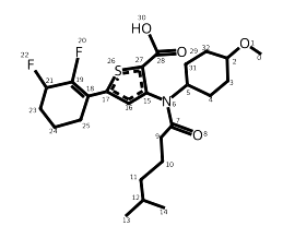 COC1CCC(N(C(=O)CCCC(C)C)c2cc(C3=C(F)C(F)CCC3)sc2C(=O)O)CC1